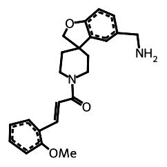 COc1ccccc1C=CC(=O)N1CCC2(CC1)COc1ccc(CN)cc12